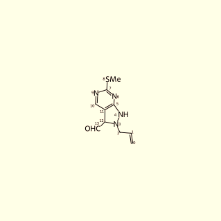 C=CCN1Nc2nc(SC)ncc2C1C=O